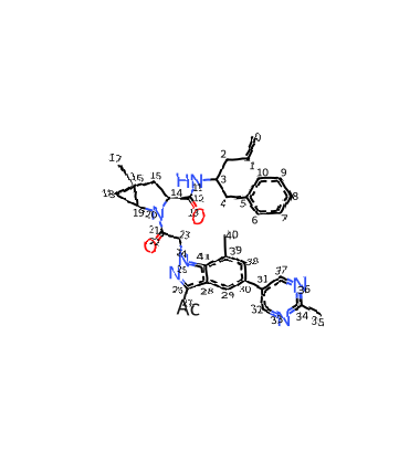 C=CCC(Cc1ccccc1)NC(=O)[C@@H]1C[C@@]2(C)CC2N1C(=O)Cn1nc(C(C)=O)c2cc(-c3cnc(C)nc3)cc(C)c21